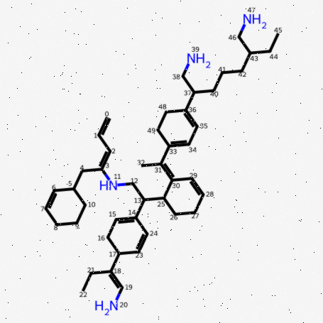 C=C/C=C(\CC1C=CCCC1)NCC(C1=CCC(/C(=C/N)CC)C=C1)C1CCC=C/C1=C(/C)C1=CC=C(C(CN)CCCC(CC)CN)CC1